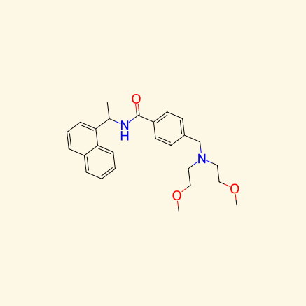 COCCN(CCOC)Cc1ccc(C(=O)NC(C)c2cccc3ccccc23)cc1